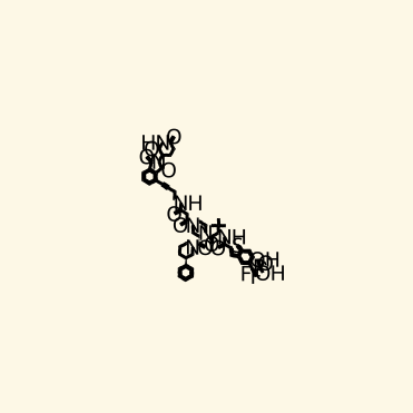 CC(C)(C)C(NC(=O)c1cc2cc(C(F)(F)P(=O)(O)O)ccc2s1)C(=O)N1CCN(C(=O)CC(=O)NCCC#Cc2cccc3c2C(=O)N(C2CCC(=O)NC2=O)C3=O)C[C@H]1C(=O)N1CCC[C@H](c2ccccc2)C1